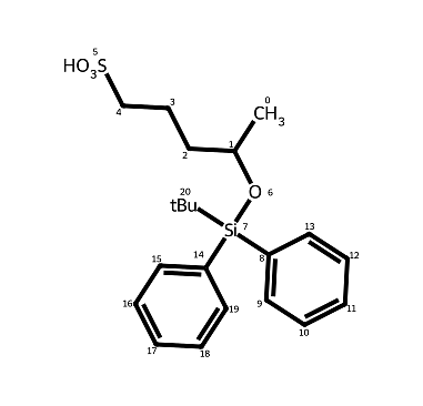 CC(CCCS(=O)(=O)O)O[Si](c1ccccc1)(c1ccccc1)C(C)(C)C